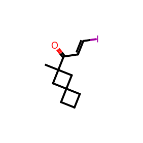 CC1(C(=O)/C=C/I)CC2(CCC2)C1